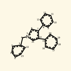 c1ccc(Cn2cc(-c3ccccc3)c(-c3ccccc3)c2)cc1